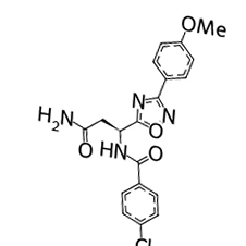 COc1ccc(-c2noc([C@H](CC(N)=O)NC(=O)c3ccc(Cl)cc3)n2)cc1